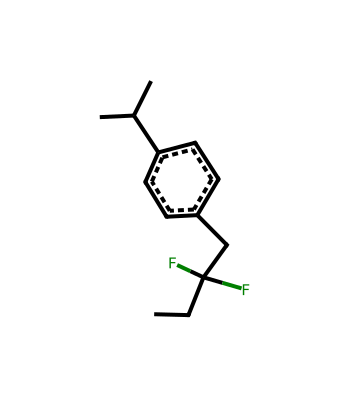 CCC(F)(F)Cc1ccc(C(C)C)cc1